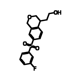 O=S(=O)(c1cccc(F)c1)c1ccc2c(c1)COCC2CCO